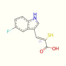 O=C(O)/C(S)=C/c1c[nH]c2ccc(F)cc12